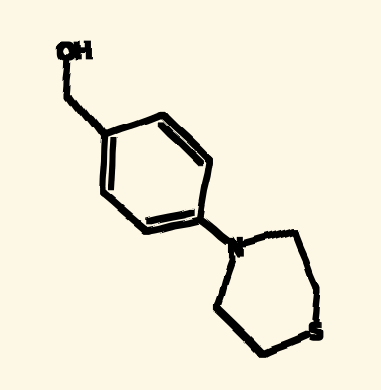 OCc1ccc(N2CCSCC2)cc1